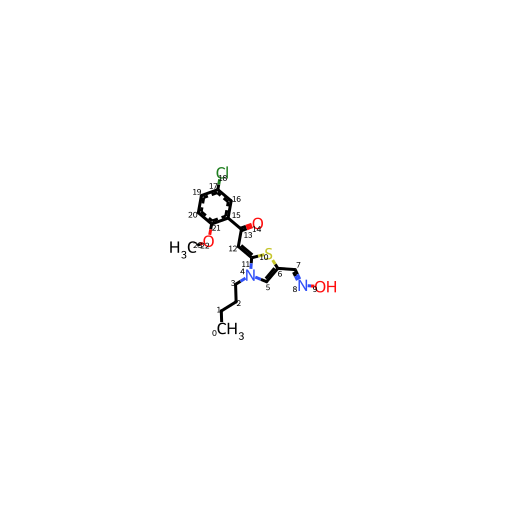 CCCCN1C=C(C=NO)SC1=CC(=O)c1cc(Cl)ccc1OC